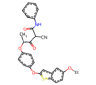 CCOc1ccc2sc(Oc3ccc(OC(C)C(=O)C(C#N)C(=O)Nc4ccccc4)cc3)cc2c1